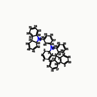 C1=CCC2C(=C1)C(c1ccccc1)(C1C=CC=CC1)c1ccccc1N2c1cccc(N2c3ccccc3C3C=CC=CC32)c1